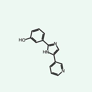 Oc1cccc(-c2ncc(-c3cccnc3)[nH]2)c1